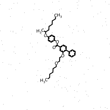 CCCCCCOCCOc1cc(C(=O)Oc2ccc(OC(C)CCCCCC)cc2)ccc1-c1ccccc1